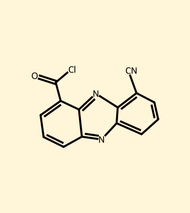 N#Cc1cccc2nc3cccc(C(=O)Cl)c3nc12